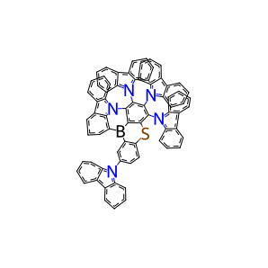 c1ccc2c(c1)c1ccccc1n2-c1ccc2c(c1)B1c3c(c(-n4c5ccccc5c5ccccc54)c(-n4c5ccccc5c5ccccc54)c(-n4c5ccccc5c5ccccc54)c3-n3c4ccccc4c4cccc1c43)S2